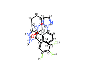 Cn1nc2c(c1-c1cc(F)c(F)c(F)c1)CC1CCCC2N1C(=O)c1ccccc1-n1nccn1